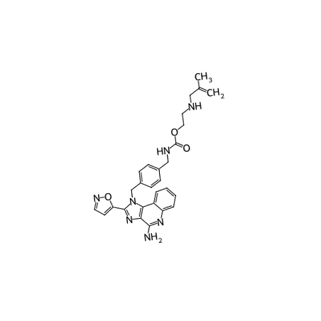 C=C(C)CNCCOC(=O)NCc1ccc(Cn2c(-c3ccno3)nc3c(N)nc4ccccc4c32)cc1